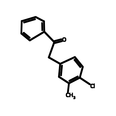 Cc1cc(CC(=O)c2ccccc2)ccc1Cl